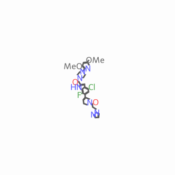 COc1cnc(N2CCN(C(=O)c3cc4c(Cl)cc(C5=CCCN(C(=O)CCn6cccn6)C5)c(F)c4[nH]3)CC2)c(OC)c1